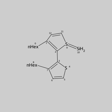 CCCCCCC1=C(c2sccc2CCCCCC)S(=[SiH2])C=C1